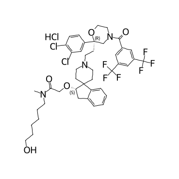 CN(CCCCCCO)C(=O)CO[C@H]1Cc2ccccc2C12CCN(CC[C@@]1(c3ccc(Cl)c(Cl)c3)CN(C(=O)c3cc(C(F)(F)F)cc(C(F)(F)F)c3)CCO1)CC2.Cl